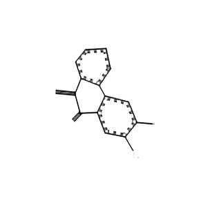 Nc1cc2c(cc1O)-c1ccccc1C(=O)C2=O